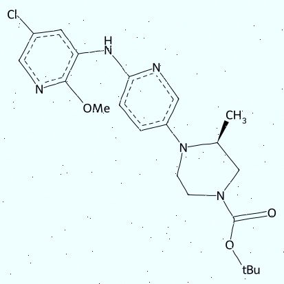 COc1ncc(Cl)cc1Nc1ccc(N2CCN(C(=O)OC(C)(C)C)C[C@@H]2C)cn1